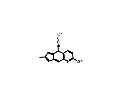 CC1=CC2=Cc3n[c]([Zr+3])ccc3C(Br)C2=C1.[Cl-].[Cl-].[Cl-]